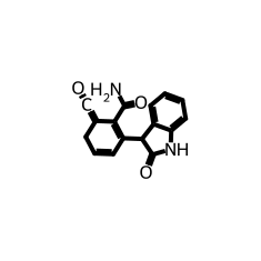 NC(=O)C1=C(C2C(=O)Nc3ccccc32)C=CCC1=C=O